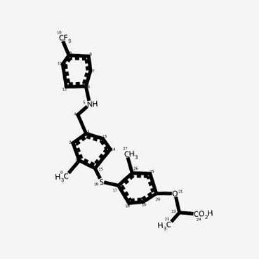 Cc1cc(CNc2ccc(C(F)(F)F)cc2)ccc1Sc1ccc(OC(C)C(=O)O)cc1C